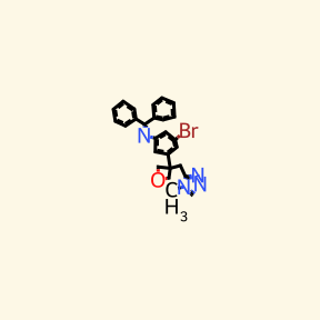 Cn1cnnc1CC1(c2cc(Br)cc(N=C(c3ccccc3)c3ccccc3)c2)COC1